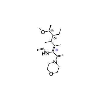 C=CN/C(C(=C)N1CCOCC1)=C(/C)C(C)[C@H](CC)[C@H](C)OC